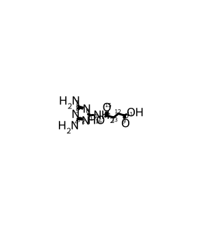 Nc1nc(N)nc(N)n1.O=C(O)CCC(=O)O